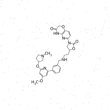 COc1cc(OC2CCN(C)C2)nc(-c2cccc(CNCCC3CN(c4ccc5c(n4)NC(=O)CO5)C(=O)O3)c2)c1